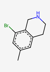 Cc1cc(Br)c2c(c1)CCNC2